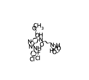 COCCOc1cc2ncnc(Nc3ccc(Cl)c(Cl)c3F)c2cc1NC(=O)C=CCN1C[C@@H]2OCCO[C@@H]2C1